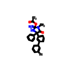 CC(=O)c1cccc(-c2cccc(C3(c4ccccc4)NC(N)(OC(=O)C(F)(F)F)N(C)C3=O)c2)c1